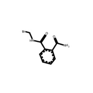 NC(=O)c1ccccc1C(=O)NCBr